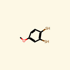 COc1ccc(S)c(S)c1